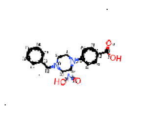 O=C(O)c1ccc(N2CCN(Cc3ccccc3)CC2)cc1.O=NO